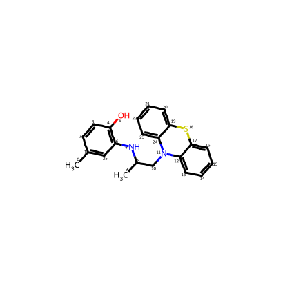 Cc1ccc(O)c(NC(C)CN2c3ccccc3Sc3ccccc32)c1